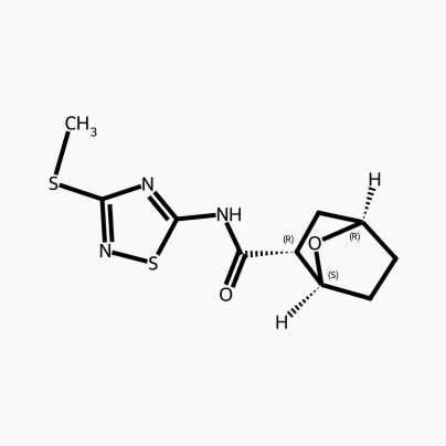 CSc1nsc(NC(=O)[C@@H]2C[C@H]3CC[C@@H]2O3)n1